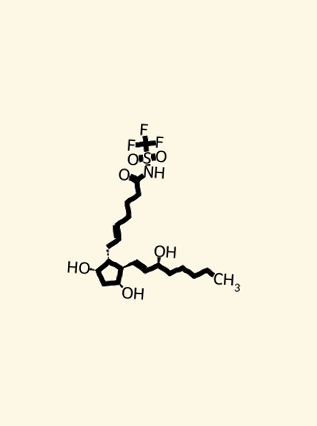 CCCCC[C@H](O)C=C[C@@H]1[C@@H](CC=CCCCC(=O)NS(=O)(=O)C(F)(F)F)[C@@H](O)C[C@H]1O